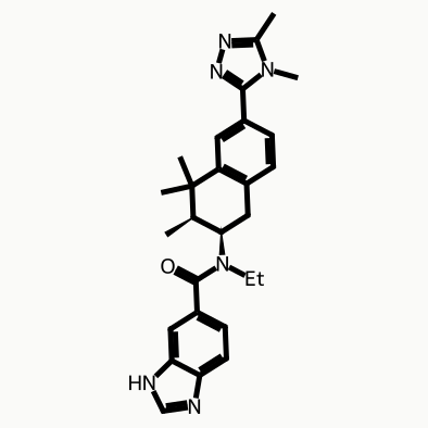 CCN(C(=O)c1ccc2nc[nH]c2c1)[C@@H]1Cc2ccc(-c3nnc(C)n3C)cc2C(C)(C)[C@@H]1C